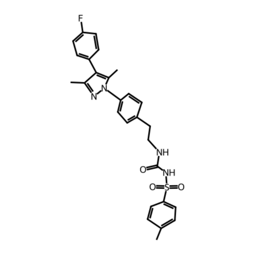 Cc1ccc(S(=O)(=O)NC(=O)NCCc2ccc(-n3nc(C)c(-c4ccc(F)cc4)c3C)cc2)cc1